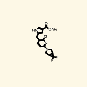 COC(=O)c1c[nH]c(Cc2ccc(N3CC4C(C3)C4(F)F)nc2Cl)c1